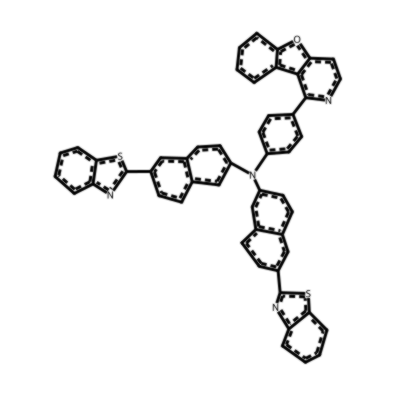 c1ccc2sc(-c3ccc4cc(N(c5ccc(-c6nccc7oc8ccccc8c67)cc5)c5ccc6cc(-c7nc8ccccc8s7)ccc6c5)ccc4c3)nc2c1